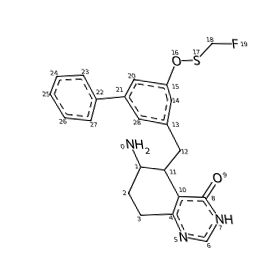 NC1CCc2nc[nH]c(=O)c2C1Cc1cc(OSCF)cc(-c2ccccc2)c1